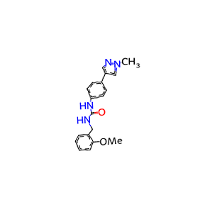 COc1ccccc1CNC(=O)Nc1ccc(-c2cnn(C)c2)cc1